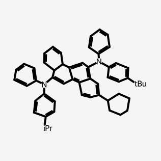 CC(C)c1ccc(N(C2=Cc3c(cc(N(c4ccccc4)c4ccc(C(C)(C)C)cc4)c4cc(C5CCCCC5)ccc34)C3C=CC=CC23)c2ccccc2)cc1